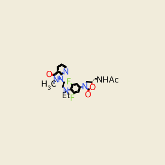 CCN(CCn1c2ncccc2c(=O)n1C)c1c(F)cc(N2C[C@H](CNC(C)=O)OC2=O)cc1F